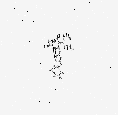 CC(C)c1c(Cn2cc(Cc3ccccc3)nn2)[nH]c(=O)[nH]c1=O